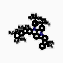 CC(C)(C)c1ccc(N2B3c4cc(C(C)(C)C)ccc4-n4c5ccc6c(c5c5ccc(c3c54)-c3cc4c(cc32)C(C)(C)c2cc3c(cc2-4)C(C)(C)CCC3(C)C)-c2ccccc2C6(C)C)cc1